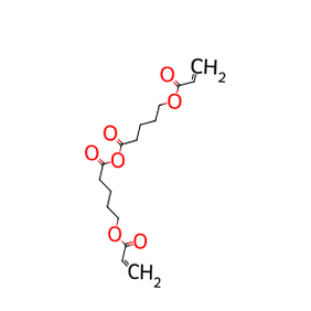 C=CC(=O)OCCCCC(=O)OC(=O)CCCCOC(=O)C=C